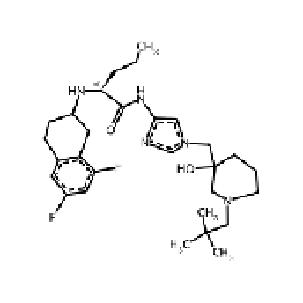 CCC[C@H](NC1CCc2cc(F)cc(F)c2C1)C(=O)Nc1cn(CC2(O)CCCN(CC(C)(C)C)C2)cn1